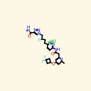 CNC(=O)c1cn(CC(F)CCc2ccc(NC(=O)Cc3cc(OC4CC(F)(F)C4)cc(C)n3)nn2)nn1.Cl.Cl